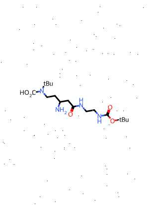 CC(C)(C)OC(=O)NCCNC(=O)CC(N)CCN(C(=O)O)C(C)(C)C